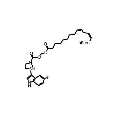 CCCCC/C=C\C/C=C\CCCCCCCC(=O)OCOC(=O)N1CC[SH](c2c[nH]c3ccc(F)cc23)C1